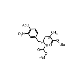 CC(=O)Oc1ccc(C[C@@H](C[C@@H](C)C(=O)OC(C)(C)C)NC(=O)OC(C)(C)C)cc1[N+](=O)[O-]